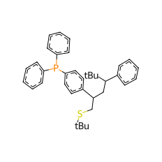 CC(C)(C)SCC(CC(c1ccccc1)C(C)(C)C)c1ccc(P(c2ccccc2)c2ccccc2)cc1